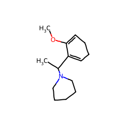 COC1=CCCC=C1C(C)N1CCCCC1